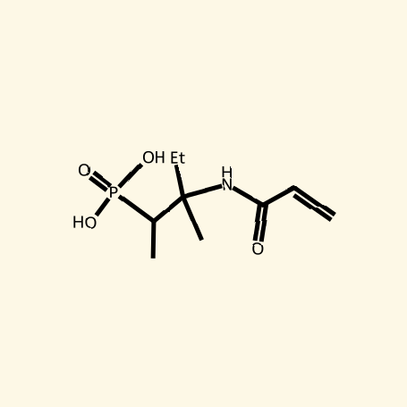 C=CC(=O)NC(C)(CC)C(C)P(=O)(O)O